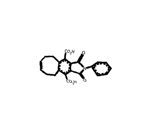 O=C(O)c1c2c(c(C(=O)O)c3c1C(=O)N(c1ccccc1)C3=O)CCC=CCC2